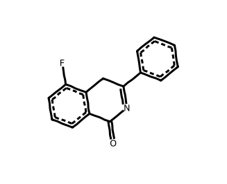 O=C1N=C(c2ccccc2)Cc2c(F)cccc21